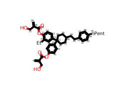 C=C(CO)C(=O)Oc1ccc(C2(c3ccc(OC(=O)C(=C)CO)c(CC)c3)CCC(CCc3ccc(CCCCC)cc3)CC2)cc1